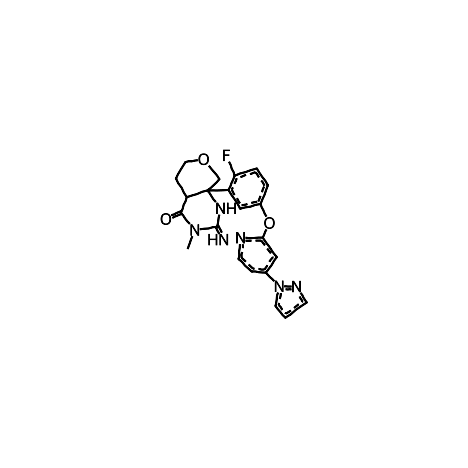 CN1C(=N)NC2(c3cc(Oc4cc(-n5cccn5)ccn4)ccc3F)COCCC2C1=O